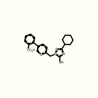 CCCc1nc(C2CCCCC2)nn1Cc1ccc(-c2ccccc2C(=O)O)cn1